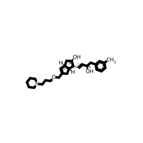 Cc1cccc(C[C@@H](O)/C=C/[C@@H]2[C@H]3CC(COCCCN4CCCCC4)=C[C@H]3C[C@H]2O)c1